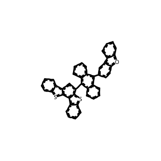 c1ccc2c(c1)oc1ccc(-c3c4ccccc4c(-c4cc5c6ccccc6sc5c5c4sc4ccccc45)c4ccccc34)cc12